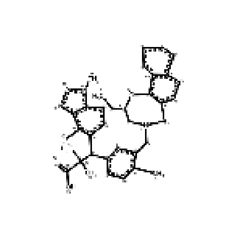 CC[C@@H]1CN(Cc2cc(C(c3ccc4c(nnn4C)c3C)C(C)(C)C(=O)O)ccc2C)Cc2ccc3ccccc3c2O1